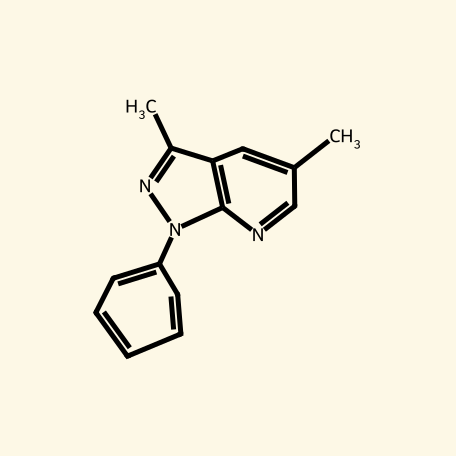 Cc1cnc2c(c1)c(C)nn2-c1ccccc1